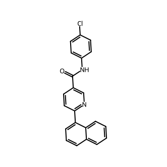 O=C(Nc1ccc(Cl)cc1)c1ccc(-c2cccc3ccccc23)nc1